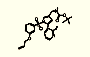 C=CCOc1cccc(S(=O)(=O)n2cc(CN(C)C(=O)OC(C)(C)C)cc2-c2cccnc2F)c1